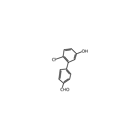 O=Cc1ccc(-c2cc(O)ccc2Cl)cc1